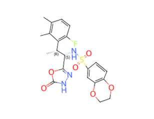 Cc1ccc(F)c([C@@H](C)[C@H](NS(=O)(=O)c2ccc3c(c2)OCCO3)c2n[nH]c(=O)o2)c1C